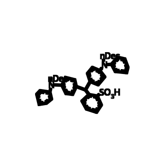 CCCCCCCCCCN(c1ccccc1)c1ccc(C(c2ccc(N(CCCCCCCCCC)c3ccccc3)cc2)c2ccccc2S(=O)(=O)O)cc1